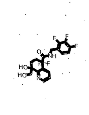 O=C(NCc1ccc(F)c(F)c1F)[C@]1(F)CCC(O)(CO)c2ncccc21